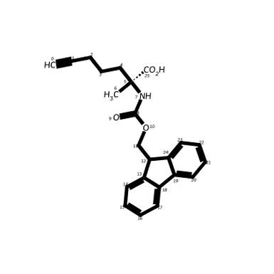 C#CCCC[C@](C)(NC(=O)OCC1c2ccccc2-c2ccccc21)C(=O)O